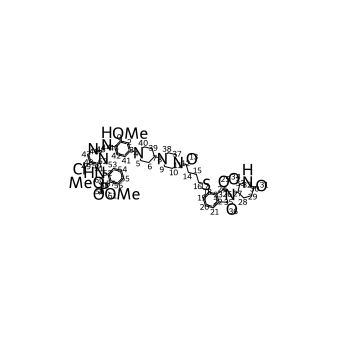 COc1cc(N2CCC(N3CCN(C(=O)CCCSc4cccc5c4C(=O)N(C4CCC(=O)NC4=O)C5=O)CC3)CC2)ccc1Nc1ncc(Cl)c(Nc2ccccc2P(=O)(OC)OC)n1